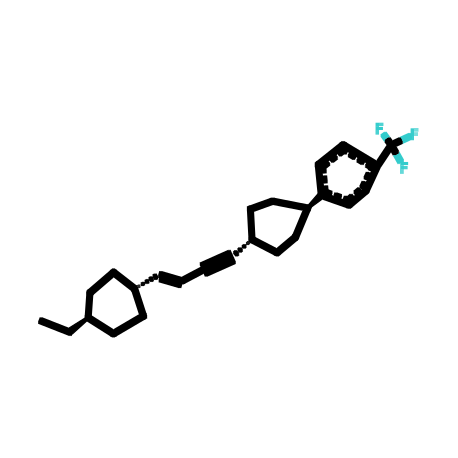 CC[C@H]1CC[C@H](/C=C/C#C[C@H]2CC[C@H](c3ccc(C(F)(F)F)cc3)CC2)CC1